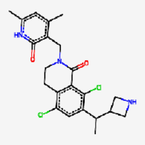 Cc1cc(C)c(CN2CCc3c(Cl)cc(C(C)C4CNC4)c(Cl)c3C2=O)c(=O)[nH]1